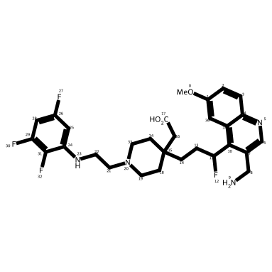 COc1ccc2ncc(CN)c(C(F)CCC3(CC(=O)O)CCN(CCNc4cc(F)cc(F)c4F)CC3)c2c1